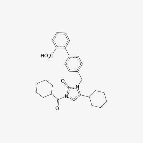 O=C(O)c1ccccc1-c1ccc(Cn2c(C3CCCCC3)cn(C(=O)C3CCCCC3)c2=O)cc1